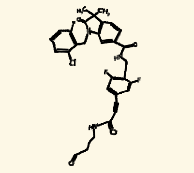 CC1(C)C(=O)N(Cc2c(F)cccc2Cl)c2cc(C(=O)NCc3c(F)cc(C#CC(=O)NCCCC=O)cc3F)ccc21